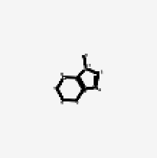 Cn1nnc2c1OCCC2